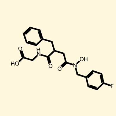 O=C(O)CNC(=O)C(CC(=O)N(O)Cc1ccc(F)cc1)Cc1ccccc1